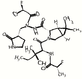 CCC(C)(C)[C@H](NC(=O)[C@@H](C)F)C(=O)N1C[C@H]2[C@@H]([C@H]1C(=O)NN(C[C@@H]1CCNC1=O)C(=O)[C@H](F)Cl)C2(C)C